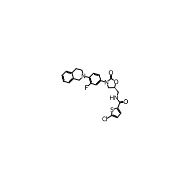 O=C(NC[C@H]1CN(c2ccc(N3CCc4ccccc4C3)c(F)c2)C(=O)O1)c1ccc(Cl)s1